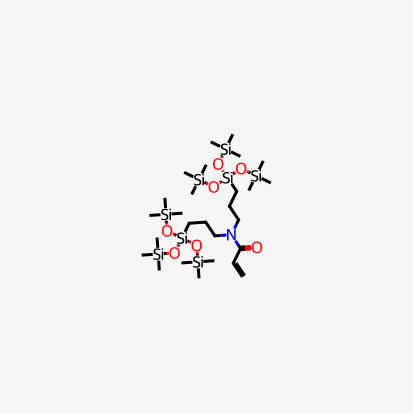 C=CC(=O)N(CCC[Si](O[Si](C)(C)C)(O[Si](C)(C)C)O[Si](C)(C)C)CCC[Si](O[Si](C)(C)C)(O[Si](C)(C)C)O[Si](C)(C)C